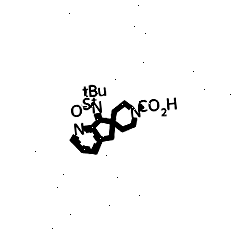 CC(C)(C)[S@@+]([O-])/N=C1\c2ncccc2CC12CCN(C(=O)O)CC2